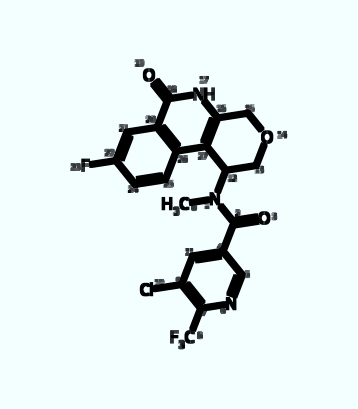 CN(C(=O)c1cnc(C(F)(F)F)c(Cl)c1)C1COCc2[nH]c(=O)c3cc(F)ccc3c21